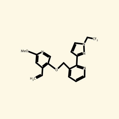 C=Cc1cc(OC)ncc1OCc1cccnc1-c1ccn(CC(F)(F)F)n1